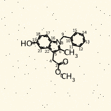 COC(=O)Cc1c(C)n(Cc2ccccc2)c2ccc(O)cc12